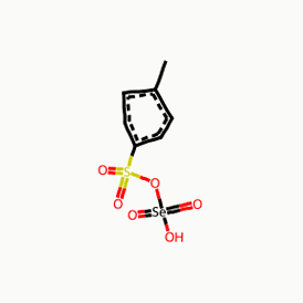 Cc1ccc(S(=O)(=O)O[Se](=O)(=O)O)cc1